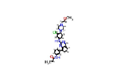 C=CC(=O)Nc1cccc(-c2cccc3cnc(Nc4ccc(N5CCN(CCOC)CC5)c(Cl)c4)nc23)c1